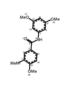 CNc1cc(C(=O)Nc2cc(OC)cc(OC)c2)ccc1OC